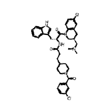 CN(C)C[C@@H]1Cc2cc(Cl)ccc2N(C(=O)[C@@H](Cc2c[nH]c3ccccc23)NC(=O)CCC2CCN(C(=O)c3cccc(Cl)c3)CC2)C1